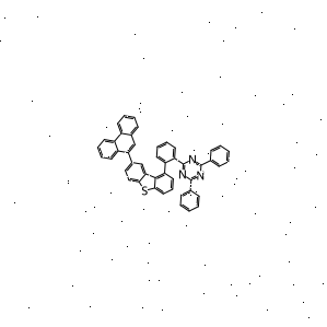 c1ccc(-c2nc(-c3ccccc3)nc(-c3ccccc3-c3cccc4sc5ccc(-c6cc7ccccc7c7ccccc67)cc5c34)n2)cc1